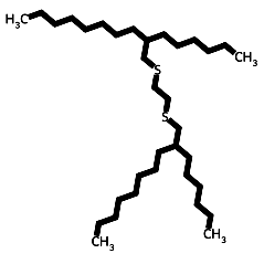 CCCCCCCCC(CCCCCC)CSCCSCC(CCCCCC)CCCCCCCC